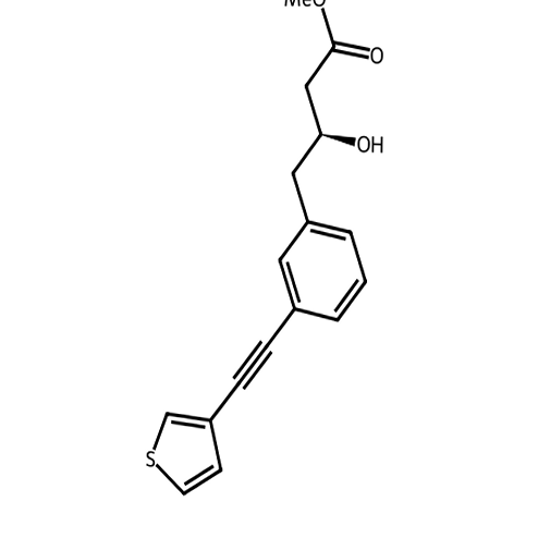 COC(=O)C[C@@H](O)Cc1cccc(C#Cc2ccsc2)c1